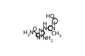 Cc1cc(Nc2cc(N)n3ncc(C(N)=O)c3n2)cc(N2CCC[C@H](O)C2)n1